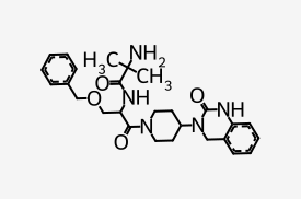 CC(C)(N)C(=O)NC(COCc1ccccc1)C(=O)N1CCC(N2Cc3ccccc3NC2=O)CC1